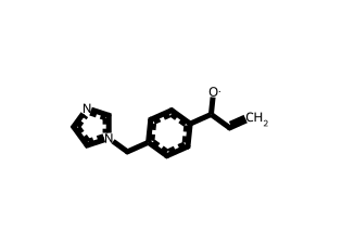 C=CC([O])c1ccc(Cn2ccnc2)cc1